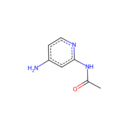 CC(=O)Nc1cc(N)ccn1